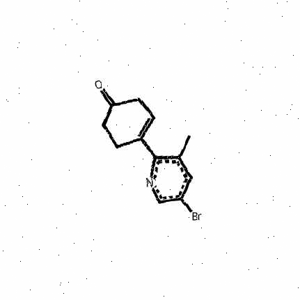 Cc1cc(Br)cnc1C1=CCC(=O)CC1